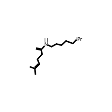 C=C(CCC=C(C)C)NCCCCCC(C)C